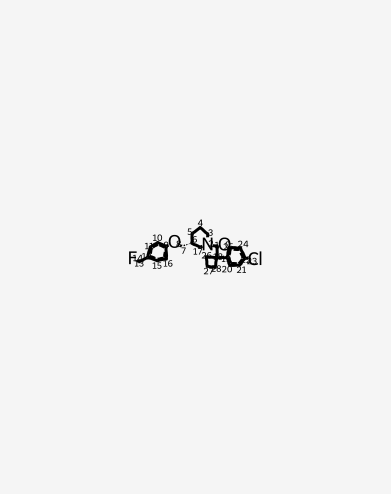 O=C(N1CCC[C@@H](COc2ccc(CF)cc2)C1)C1(c2ccc(Cl)cc2)CCC1